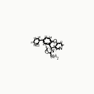 NC1=N[C@]2(CO1)c1cnccc1Oc1ccc(-c3cccnc3)cc12